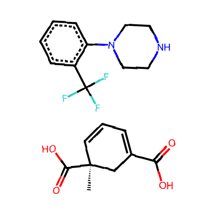 C[C@]1(C(=O)O)C=CC=C(C(=O)O)C1.FC(F)(F)c1ccccc1N1CCNCC1